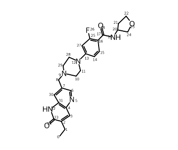 CCc1cc2ncc(CN3CCN(c4ccc(C(=O)NC5CCOC5)c(F)c4)CC3)cc2[nH]c1=O